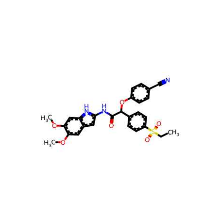 CCS(=O)(=O)c1ccc(C(Oc2ccc(C#N)cc2)C(=O)Nc2cc3cc(OC)c(OC)cc3[nH]2)cc1